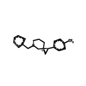 FC(F)(F)c1ccc(C2C[C@@]23CCCN(Cc2ccccc2)C3)cc1